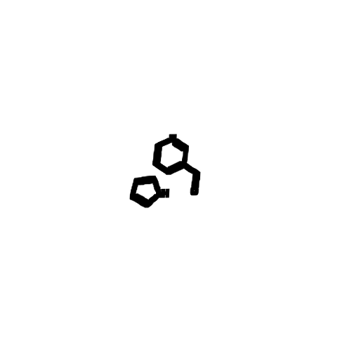 O=Cc1cccnc1.c1cc[nH]c1